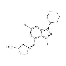 Cc1nn(C2CCCCO2)c2cc(Br)cc(O[C@H]3CCN(C(=O)O)C3)c12